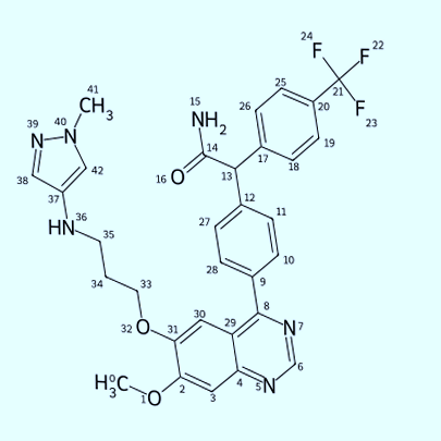 COc1cc2ncnc(-c3ccc(C(C(N)=O)c4ccc(C(F)(F)F)cc4)cc3)c2cc1OCCCNc1cnn(C)c1